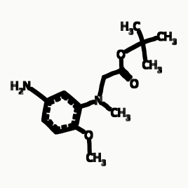 COc1ccc(N)cc1N(C)CC(=O)OC(C)(C)C